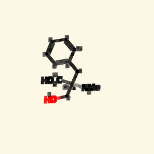 CN[C@@](CO)(Cc1ccccc1)C(=O)O